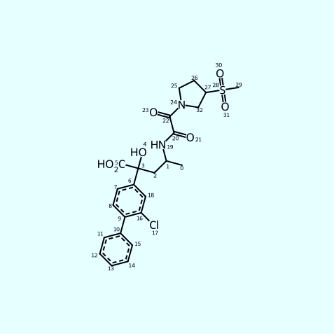 CC(CC(O)(C(=O)O)c1ccc(-c2ccccc2)c(Cl)c1)NC(=O)C(=O)N1CCC(S(C)(=O)=O)C1